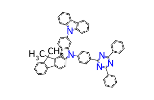 CC1(C)c2ccccc2-c2ccc3c(c21)c1ccc(-n2c4ccccc4c4ccccc42)cc1n3-c1ccc(-c2nc(-c3ccccc3)nc(-c3ccccc3)n2)cc1